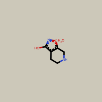 O.Oc1noc2c1CCNC2